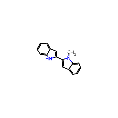 Cn1c(-c2cc3ccccc3[nH]2)cc2ccccc21